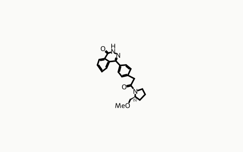 COC[C@@H]1CCCN1C(=O)Cc1ccc(-c2n[nH]c(=O)c3ccccc23)cc1